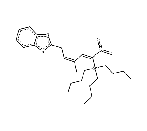 CCC[CH2][Sn]([CH2]CCC)([CH2]CCC)[C](=CC(C)=CCc1nc2ccccc2s1)[SH](=O)=O